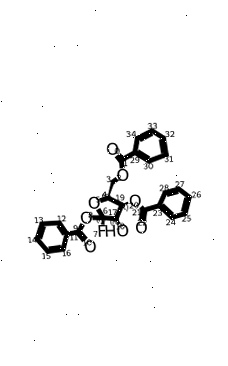 O=C(OC[C@@H]1O[C@@](F)(OC(=O)c2ccccc2)[C@H](O)[C@H]1OC(=O)c1ccccc1)c1ccccc1